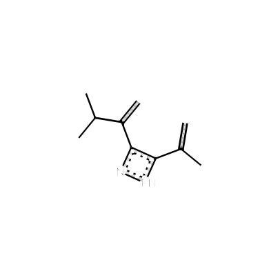 C=C(C)c1[pH][nH]c1C(=C)C(C)C